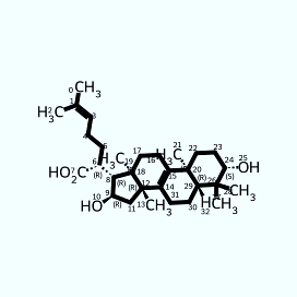 CC(C)=CCC[C@@H](C(=O)O)[C@H]1[C@H](O)C[C@@]2(C)C3=C(CC[C@]12C)[C@@]1(C)CC[C@H](O)C(C)(C)[C@@H]1CC3